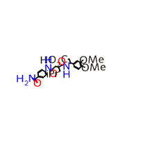 COc1ccc(C(CC(=O)O)NC(=O)C(CC(=O)Nc2ccc(C(N)=O)cc2)CC(C)C)cc1OC